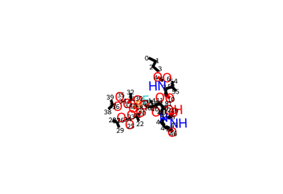 CCCCOC(=O)NC(C(=O)O[C@@H]1[C@@](CF)(COP(=O)(OC(C)OC(=O)OC(C)C)OC(C)OC(=O)OC(C)C)O[C@@H](n2ccc(=O)[nH]c2=O)[C@]1(C)O)C(C)C